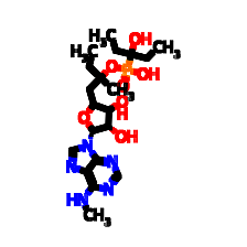 CCC(C)(CC1O[C@@H](n2cnc3c(NC)ncnc32)[C@H](O)C1O)OP(=O)(O)C(O)(CC)CC